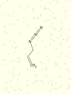 C=CCN=[N+]=[N-]